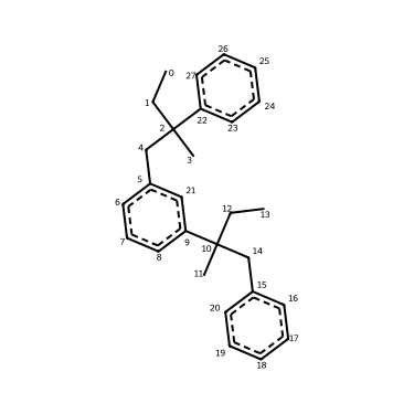 CCC(C)(Cc1cccc(C(C)(CC)Cc2ccccc2)c1)c1ccccc1